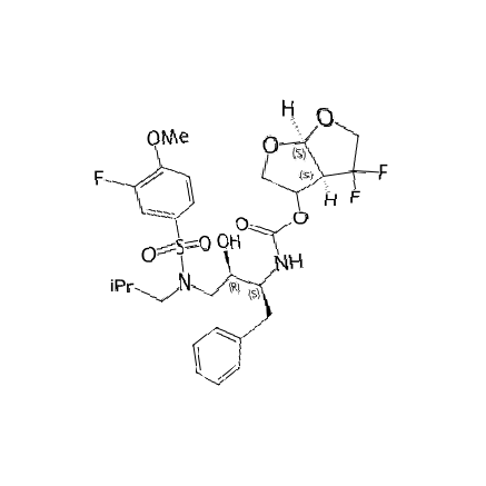 COc1ccc(S(=O)(=O)N(CC(C)C)C[C@@H](O)[C@H](Cc2ccccc2)NC(=O)OC2CO[C@H]3OCC(F)(F)[C@@H]23)cc1F